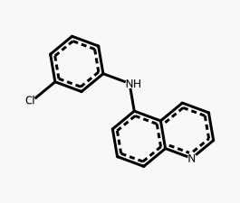 Clc1cccc(Nc2cccc3ncccc23)c1